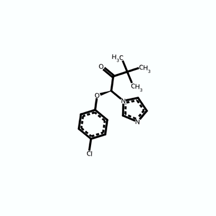 CC(C)(C)C(=O)[C@H](Oc1ccc(Cl)cc1)n1ccnc1